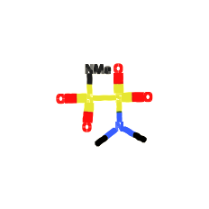 CNS(=O)(=O)S(=O)(=O)N(C)C